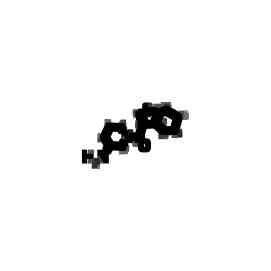 NC1CCCN(C(=O)c2[c]sc3c2CCCC3)C1